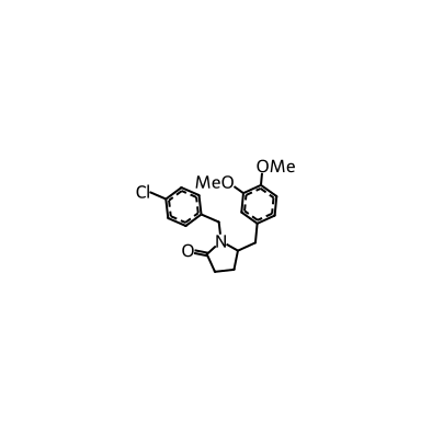 COc1ccc(CC2CCC(=O)N2Cc2ccc(Cl)cc2)cc1OC